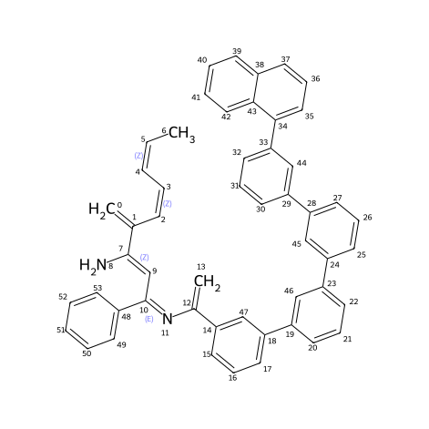 C=C(/C=C\C=C/C)/C(N)=C/C(=N\C(=C)c1cccc(-c2cccc(-c3cccc(-c4cccc(-c5cccc6ccccc56)c4)c3)c2)c1)c1ccccc1